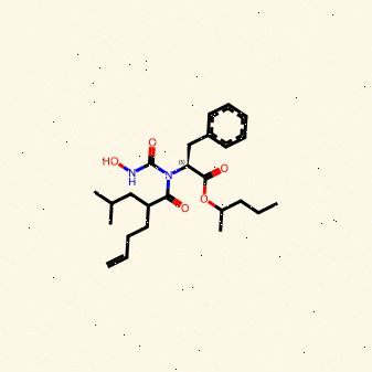 C=CCCC(CC(C)C)C(=O)N(C(=O)NO)[C@@H](Cc1ccccc1)C(=O)OC(C)CCC